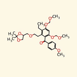 CCc1c(OCOC)cc(OCOC)c(C(=O)c2ccc(OC)cc2)c1CCOCC1COC(C)(C)O1